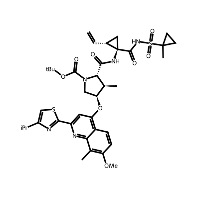 C=C[C@@H]1C[C@]1(NC(=O)[C@@H]1[C@@H](C)[C@@H](Oc2cc(-c3nc(C(C)C)cs3)nc3c(C)c(OC)ccc23)CN1C(=O)OC(C)(C)C)C(=O)NS(=O)(=O)C1(C)CC1